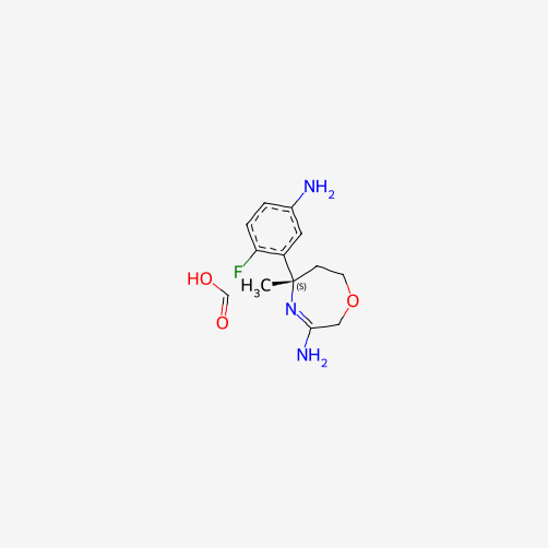 C[C@@]1(c2cc(N)ccc2F)CCOCC(N)=N1.O=CO